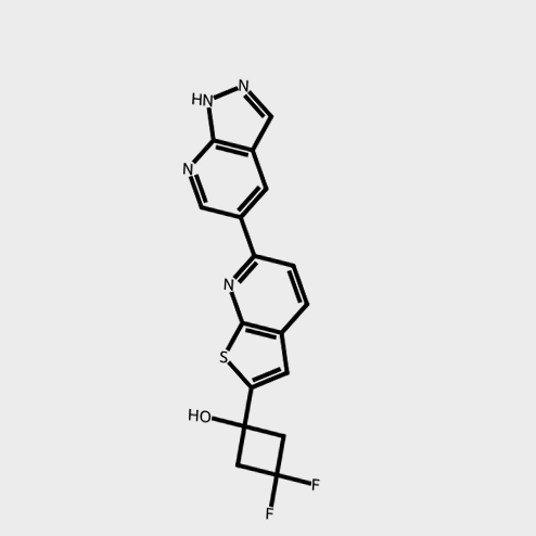 OC1(c2cc3ccc(-c4cnc5[nH]ncc5c4)nc3s2)CC(F)(F)C1